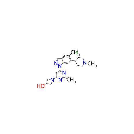 Cc1nc(N2CC(O)C2)cc(-n2ncc3cc(C)c(C4CCN(C)C[C@H]4F)cc32)n1